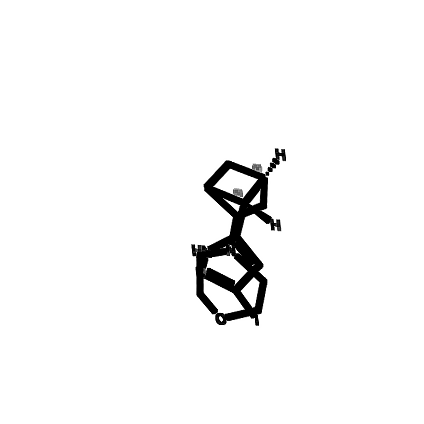 Ic1cc([C@@H]2C3C[C@H]2CC3N2CCOCC2)[nH]n1